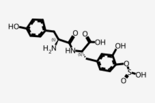 N[C@@H](Cc1ccc(O)cc1)C(=O)N[C@@H](Cc1ccc(OS(=O)O)c(O)c1)C(=O)O